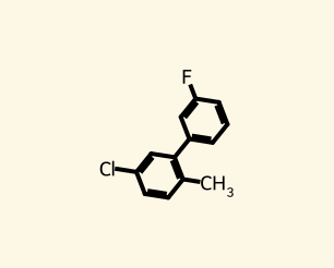 Cc1ccc(Cl)cc1-c1cccc(F)c1